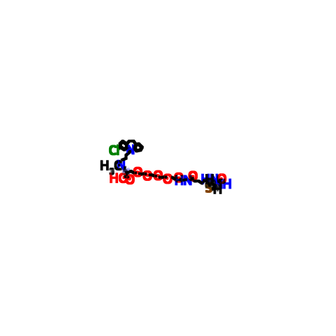 CN(C/C=C(\CCOCCOCCOCCOCCOCCNC(=O)CCCC[C@@H]1SC[C@@H]2NC(=O)N[C@@H]21)C(=O)O)CCCCN1c2ccccc2CCc2ccc(Cl)cc21